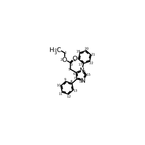 CCOC(=O)Cc1c(-c2ccccc2)ncn1-c1ccccc1